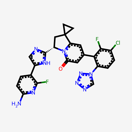 Nc1ccc(-c2cnc([C@@H]3CC4(CC4)c4cc(-c5c(-n6cnnn6)ccc(Cl)c5F)cc(=O)n43)[nH]2)c(F)n1